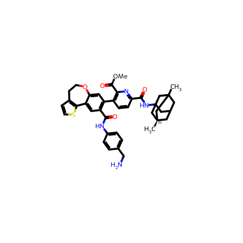 COC(=O)c1nc(C(=O)NC23CC4CC(C)(C2)C[C@](C)(C4)C3)ccc1-c1cc2c(cc1C(=O)Nc1ccc(CN)cc1)-c1sccc1CCO2